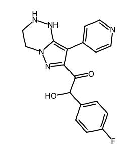 O=C(c1nn2c(c1-c1ccncc1)NNCC2)C(O)c1ccc(F)cc1